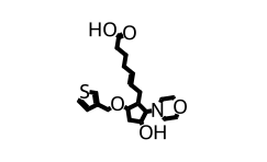 O=C(O)CCCC=CCC1C(OCc2ccsc2)CC(O)C1N1CCOCC1